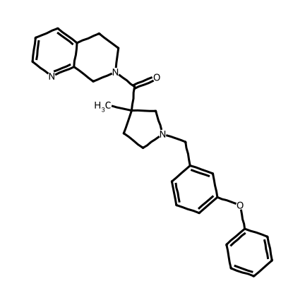 CC1(C(=O)N2CCc3cccnc3C2)CCN(Cc2cccc(Oc3ccccc3)c2)C1